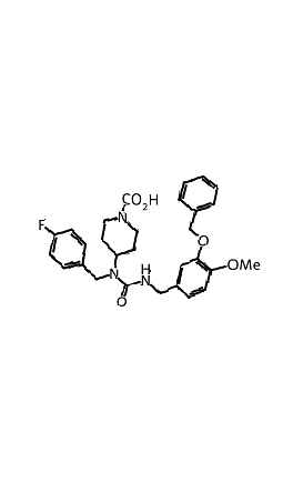 COc1ccc(CNC(=O)N(Cc2ccc(F)cc2)C2CCN(C(=O)O)CC2)cc1OCc1ccccc1